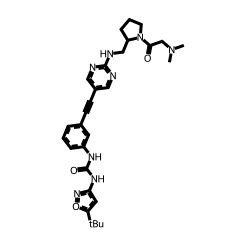 CN(C)CC(=O)N1CCCC1CNc1ncc(C#Cc2cccc(NC(=O)Nc3cc(C(C)(C)C)on3)c2)cn1